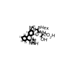 CCCCCCC(C(=O)N[C@@H](CO)C(=O)O)n1cnc2cc(-c3ccccc3-c3nn[nH]n3)ccc21